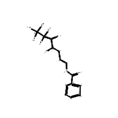 O=C(SCCCC(F)C(F)C(F)(F)C(F)(F)F)c1ccccc1